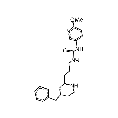 COc1ccc(NC(=O)NCCCC2CC(Cc3ccccc3)CCN2)cn1